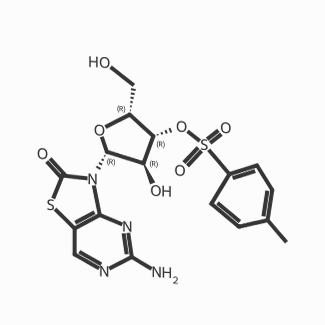 Cc1ccc(S(=O)(=O)O[C@@H]2[C@@H](O)[C@H](n3c(=O)sc4cnc(N)nc43)O[C@@H]2CO)cc1